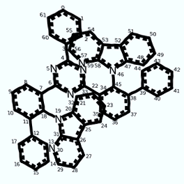 c1ccc(-c2nc(-c3cccc(-c4ccccc4)c3-n3c4ccccc4c4cccnc43)nc(-c3cccc(-c4ccccc4)c3-n3c4ccccc4c4cccnc43)n2)cc1